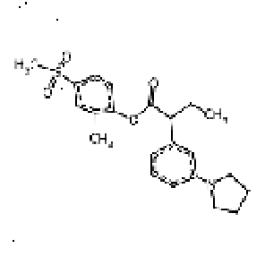 CCC(C(=O)Oc1ccc(S(C)(=O)=O)cc1C)c1cccc(N2CCCC2)c1